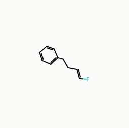 FC=CCCc1ccccc1